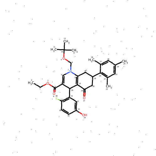 CCOC(=O)C1=CN(COC(C)(C)C)C2=C(C(=O)CC(c3c(C)cc(C)cc3C)C2)C1c1cc(O)ccc1F